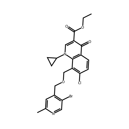 CCOC(=O)c1cn(C2CC2)c2c(COCc3cc(C)ncc3Br)c(Cl)ccc2c1=O